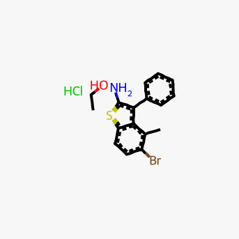 CCO.Cc1c(Br)ccc2sc(N)c(-c3ccccc3)c12.Cl